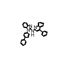 c1ccc(-c2ccc(-n3c(Nc4cc(-c5ccccc5)c5ccccc5n4)nc4ccccc43)cc2)cc1